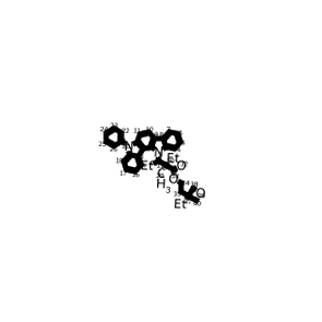 CCC(n1c2ccccc2c2ccc3c(c4ccccc4n3-c3ccccc3)c21)C(C)(CC)C(=O)OCCC1(CC)COC1